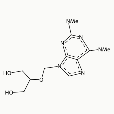 CNc1nc(NC)c2ncn(COC(CO)CO)c2n1